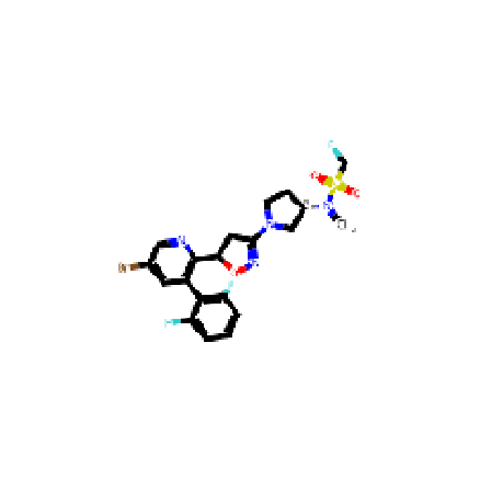 C=[N+]([C@H]1CCN(C2=NOC(c3ncc(Br)cc3-c3c(F)cccc3F)C2)C1)S(=O)(=O)CF